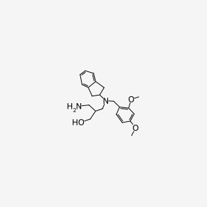 COc1ccc(CN(CC(CN)CO)C2Cc3ccccc3C2)c(OC)c1